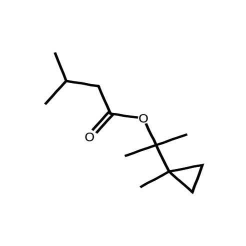 CC(C)CC(=O)OC(C)(C)C1(C)CC1